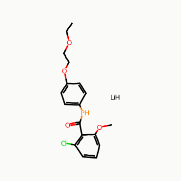 CCOCCOc1ccc(PC(=O)c2c(Cl)cccc2OC)cc1.[LiH]